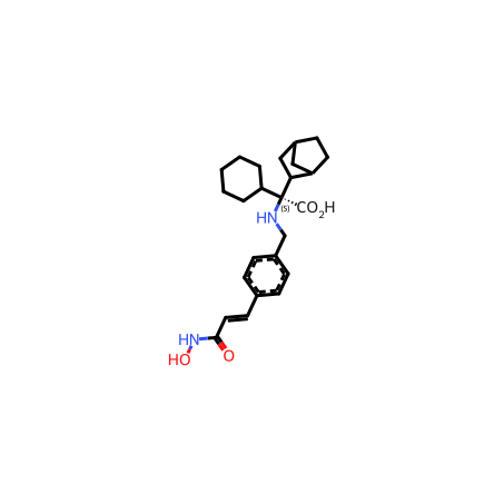 O=C(C=Cc1ccc(CN[C@@](C(=O)O)(C2CCCCC2)C2CC3CCC2C3)cc1)NO